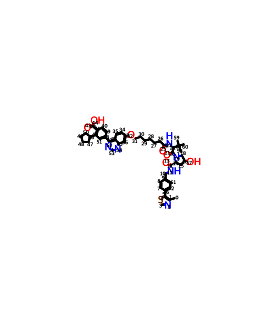 Cc1ncsc1-c1ccc(CNC(=O)[C@@H]2C[C@@H](O)CN2C(=O)[C@@H](NC(=O)CCCCCCOc2ccc3c(-c4ccc(C(=O)O)c(C5CCCC5)c4)ncnc3c2)C(C)(C)C)cc1